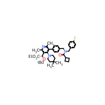 CCOC(=O)[C@@H](OC(C)(C)C)c1c(C)nc(C)c(-c2ccc(CN(Cc3ccc(F)cc3)C(=O)C3CCC3)cc2)c1N1CCC(C)(C)CC1